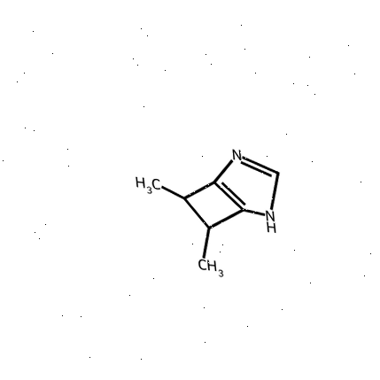 CC1c2nc[nH]c2C1C